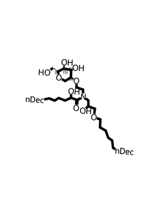 CCCCCCCCCCCCCCCCOCC(O)CN(CCO[C@H]1CO[C@H](CO)[C@@H](O)[C@@H]1O)C(=O)C(O)CCCCCCCCCCCCCC